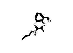 CCCCNC(=O)C(C)Oc1ccccc1C=O